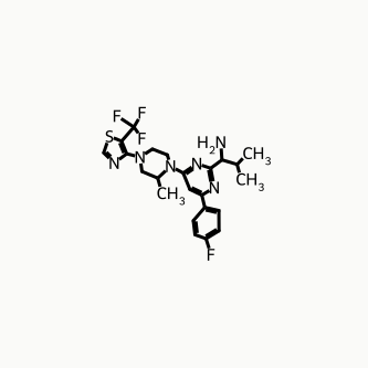 CC(C)C(N)c1nc(-c2ccc(F)cc2)cc(N2CCN(c3ncsc3C(F)(F)F)CC2C)n1